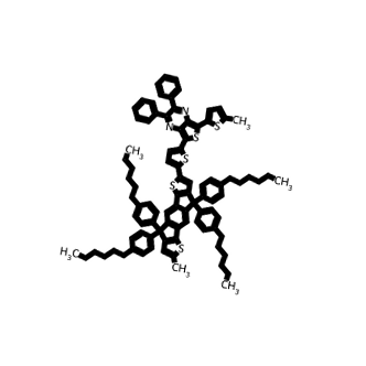 CCCCCCc1ccc(C2(c3ccc(CCCCCC)cc3)c3cc4c(cc3-c3sc(C)cc32)C(c2ccc(CCCCCC)cc2)(c2ccc(CCCCCC)cc2)c2cc(-c3ccc(-c5sc(-c6ccc(C)s6)c6nc(-c7ccccc7)c(-c7ccccc7)nc56)s3)sc2-4)cc1